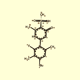 Cc1cc(C(C)(C)C)c(C)c(F)c1-c1cc(=O)c([S@](C)(=N)=O)c(C)[nH]1